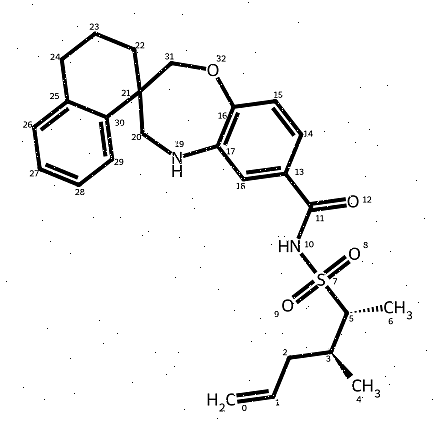 C=CC[C@H](C)[C@@H](C)S(=O)(=O)NC(=O)c1ccc2c(c1)NCC1(CCCc3ccccc31)CO2